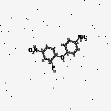 Nc1ccc(Oc2ccc([N+](=O)[O-])cc2F)cc1